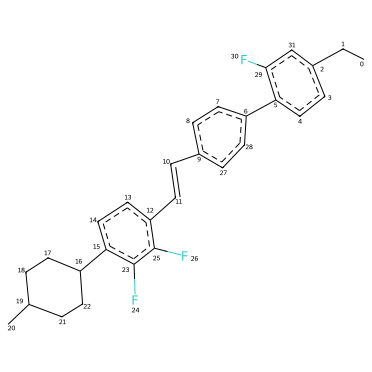 CCc1ccc(-c2ccc(/C=C/c3ccc(C4CCC(C)CC4)c(F)c3F)cc2)c(F)c1